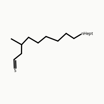 CCCCCCCCCCCCCC(C)CC=S